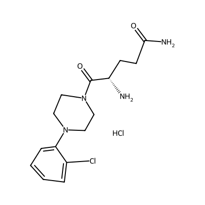 Cl.NC(=O)CC[C@H](N)C(=O)N1CCN(c2ccccc2Cl)CC1